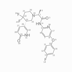 C[C@@H](C(=O)Nc1ccc(Oc2ccc(F)cc2)cn1)N1CCC(F)(F)[C@@H](c2ccc(=O)[nH]c2)C1